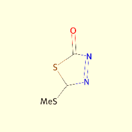 CSC1N=NC(=O)S1